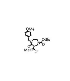 COC(=O)C1CN(C(=O)OC(C)(C)C)CCN(Cc2ccc(OC)cc2)C1=O